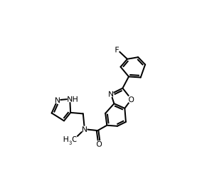 CN(Cc1ccn[nH]1)C(=O)c1ccc2oc(-c3cccc(F)c3)nc2c1